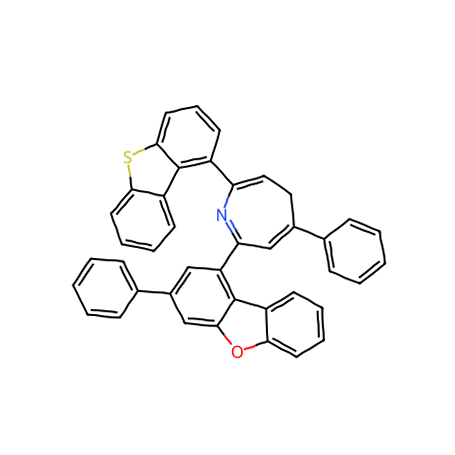 C1=C(c2ccccc2)CC=C(c2cccc3sc4ccccc4c23)N=C1c1cc(-c2ccccc2)cc2oc3ccccc3c12